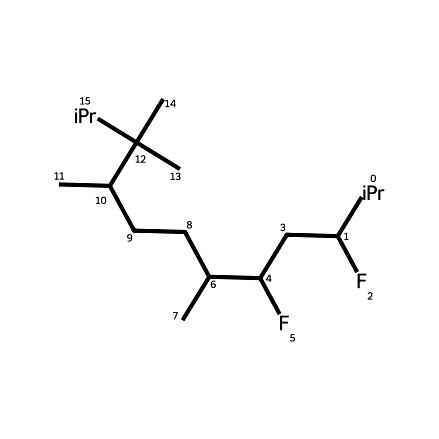 CC(C)C(F)CC(F)C(C)CCC(C)C(C)(C)C(C)C